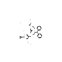 CCOc1nc(C2CC2)nc(OC)c1CN1CC(C(c2ccccc2)c2ccccc2)N2CCN(C(=O)COC)C[C@H]2C1.Cl.Cl